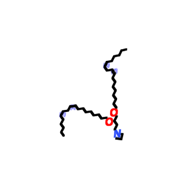 CCCCC/C=C\C/C=C\CCCCCCCCOCC(CCN1CCC1)OCCCCCCCC/C=C\C/C=C\CCCCC